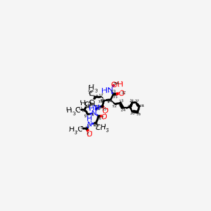 CC(=O)N[C@@H](C)C(=O)N(CC(C)C)NC(=O)[C@H](CC(C)C)[C@H](CC=Cc1ccccc1)C(=O)NO